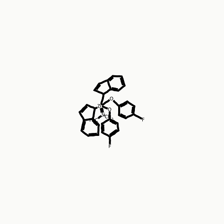 C[Si](C)=[Zr]([O]c1ccc(F)cc1)([O]c1ccc(F)cc1)([CH]1C=Cc2ccccc21)[CH]1C=Cc2ccccc21